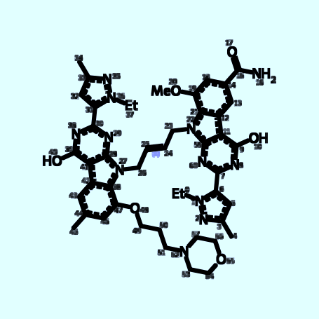 CCn1nc(C)cc1-c1nc(O)c2c3cc(C(N)=O)cc(OC)c3n(C/C=C/Cn3c4nc(-c5cc(C)nn5CC)nc(O)c4c4cc(C)cc(OCCCN5CCOCC5)c43)c2n1